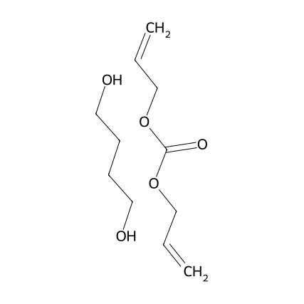 C=CCOC(=O)OCC=C.OCCCCO